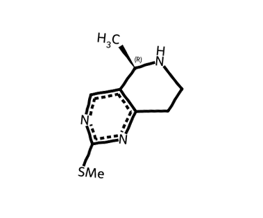 CSc1ncc2c(n1)CCN[C@@H]2C